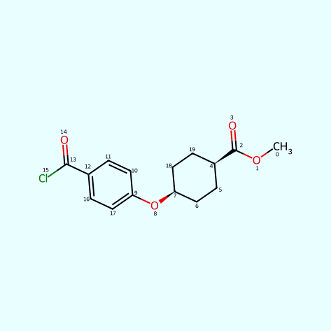 COC(=O)[C@H]1CC[C@@H](Oc2ccc(C(=O)Cl)cc2)CC1